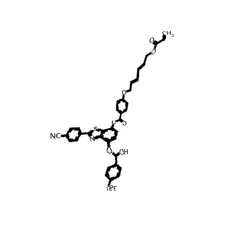 C=CC(=O)OCCCCCCOc1ccc(C(=O)Oc2ccc(OC(O)c3ccc(CCC)cc3)c3nc(-c4ccc(C#N)cc4)sc23)cc1